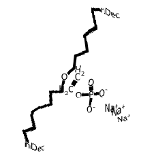 C=C.CCCCCCCCCCCCCCCCOCCCCCCCCCCCCCCCC.O=P([O-])([O-])[O-].[Na+].[Na+].[Na+]